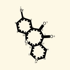 O=c1c(=O)c2cc(Br)ccc2oc2cnccc12